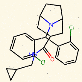 O=C(NCC1CC1)C1CC2CCC(C1)N2C(c1ccccc1Cl)c1ccccc1Cl